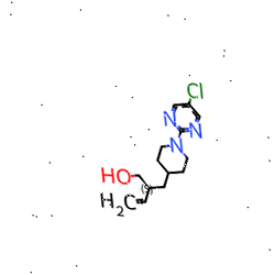 C=C[C@@H](CO)CC1CCN(c2ncc(Cl)cn2)CC1